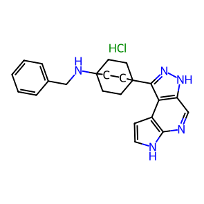 Cl.c1ccc(CNC23CCC(c4n[nH]c5cnc6[nH]ccc6c45)(CC2)CC3)cc1